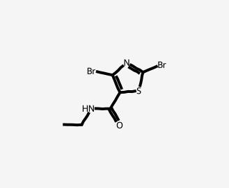 CCNC(=O)c1sc(Br)nc1Br